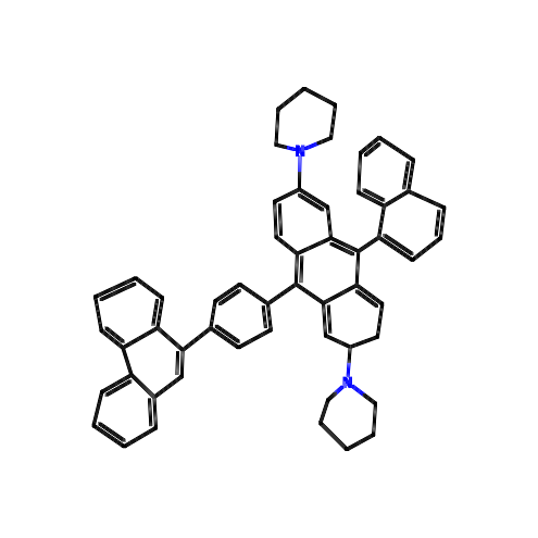 C1=c2c(-c3ccc(-c4cc5ccccc5c5ccccc45)cc3)c3ccc(N4CCCCC4)cc3c(-c3cccc4ccccc34)c2=CCC1N1CCCCC1